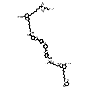 CCCCCCCCC1C(CCCCCC)CCC(CCCCCCCCC(C)(C)NC(=O)CCC=O)C1CCCCCCCCNC(=O)c1ccc2nc(-c3ccc(Oc4ccc(-c5nc6ccc(C(=O)NC(C)(C)CCCCCCCC7C(CCCCCCCN8C(=O)CCC9OC98)CCC(CCCCCC)C7CCCCCCCC)cc6o5)cc4)cc3)oc2c1